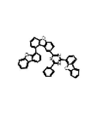 C1=CC2Oc3ccc(-c4nc(-c5ccccc5)nc(-c5cccc6c5oc5ccccc56)n4)cc3C2C(c2cccc3c2oc2ccccc23)=C1